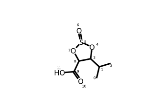 CC(C)C1OS(=O)OC1C(=O)O